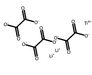 O=C([O-])C(=O)[O-].O=C([O-])C(=O)[O-].O=C([O-])C(=O)[O-].[Li+].[Li+].[Ti+4]